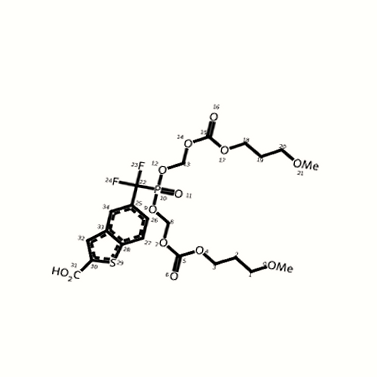 COCCCOC(=O)OCOP(=O)(OCOC(=O)OCCCOC)C(F)(F)c1ccc2sc(C(=O)O)cc2c1